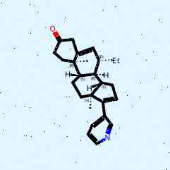 CC[C@H]1C=C2CC(=O)CC[C@]2(C)[C@H]2CC[C@]3(C)C(c4cccnc4)=CC[C@H]3[C@H]12